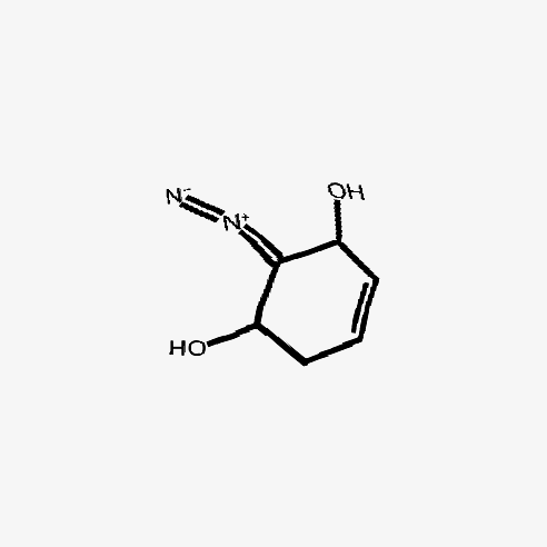 [N-]=[N+]=C1C(O)C=CCC1O